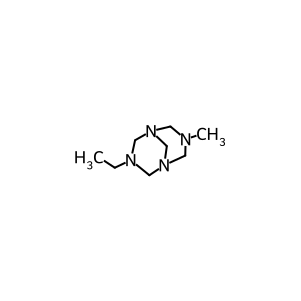 CCN1CN2CN(C)CN(C1)C2